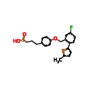 Cc1ccc(-c2ccc(F)cc2COc2ccc(CCCS(=O)O)cc2)s1